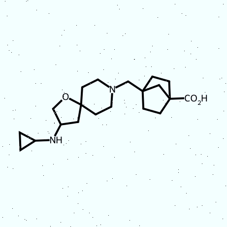 O=C(O)C12CCC(CN3CCC4(CC3)CC(NC3CC3)CO4)(CC1)C2